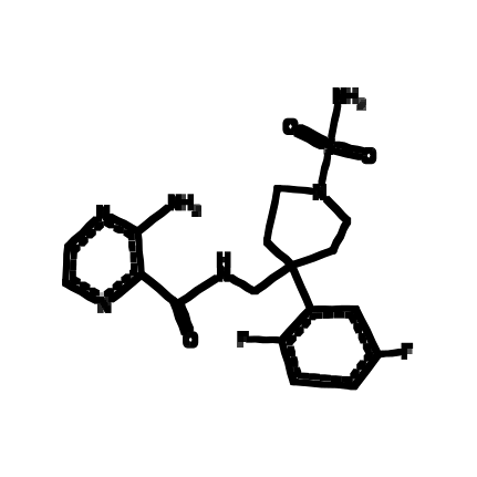 Nc1nccnc1C(=O)NCC1(c2cc(F)ccc2F)CCN(S(N)(=O)=O)CC1